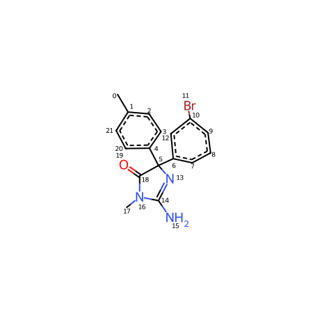 Cc1ccc(C2(c3cccc(Br)c3)N=C(N)N(C)C2=O)cc1